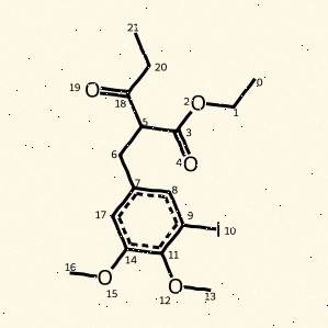 CCOC(=O)C(Cc1cc(I)c(OC)c(OC)c1)C(=O)CC